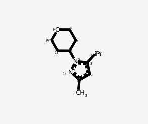 Cc1cc(C(C)C)n(C2CCOCC2)n1